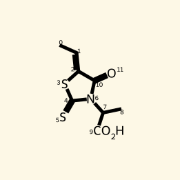 C/C=C1\SC(=S)N(C(C)C(=O)O)C1=O